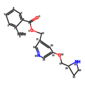 CNc1ccccc1C(=O)OCc1cncc(OCC2CCN2)c1